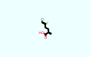 C=C(CCC(F)=CCl)C(=O)O